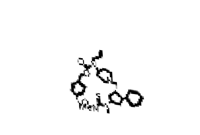 C=CCN(C(=O)OCc1ccc([N+](=O)[O-])cc1)C1CCN(C[C@H]2C[C@H](N(C)C(=S)NC)C[C@@H]2c2ccccc2)CC1